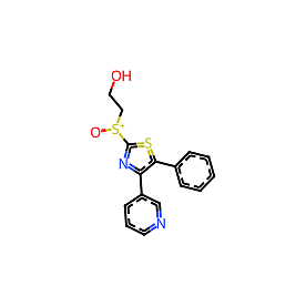 [O-][S+](CCO)c1nc(-c2cccnc2)c(-c2ccccc2)s1